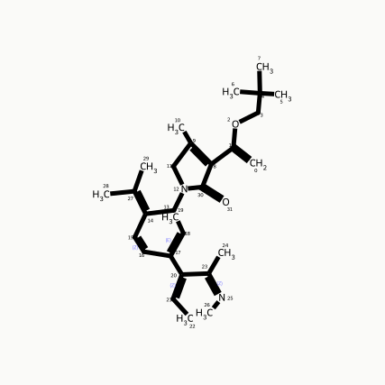 C=C(OCC(C)(C)C)C1=C(C)CN(CC(\C=C/C(=C\C)C(=C/C)/C(C)=N\C)=C(C)C)C1=O